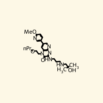 CCCOCCn1c(=O)c(NCCCNCC(C)(C)O)nc2ncc(-c3ccc(OC)nc3)cc21